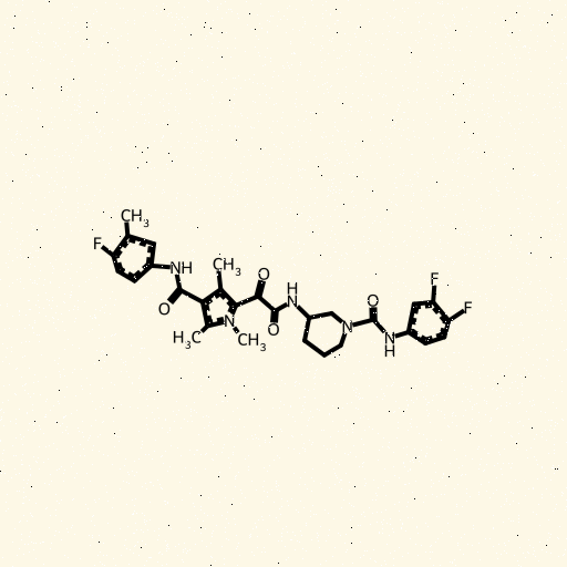 Cc1cc(NC(=O)c2c(C)c(C(=O)C(=O)NC3CCCN(C(=O)Nc4ccc(F)c(F)c4)C3)n(C)c2C)ccc1F